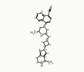 CC1CN(c2ccc(C#N)c3ncccc23)CC(CN2CC(n3cc4c(n3)CCNC4C)C2)O1